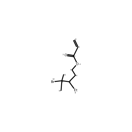 C=CC(=O)OCCC(CC)C(C)(C)Br